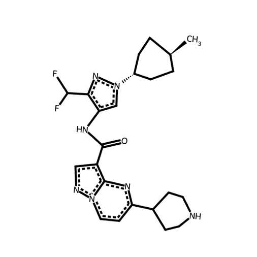 C[C@H]1CC[C@H](n2cc(NC(=O)c3cnn4ccc(C5CCNCC5)nc34)c(C(F)F)n2)CC1